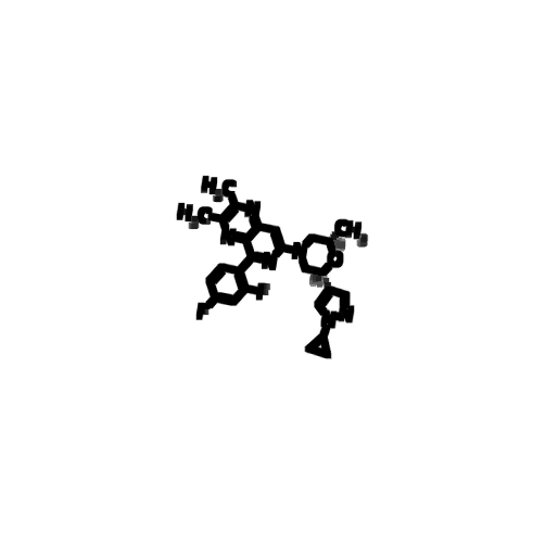 Cc1nc2cc(N3C[C@@H](c4cnn(C5CC5)c4)O[C@@H](C)C3)nc(-c3ccc(F)cc3F)c2nc1C